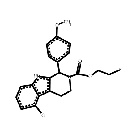 COc1ccc(C2c3[nH]c4cccc(Cl)c4c3CCN2C(=O)OCCF)cc1